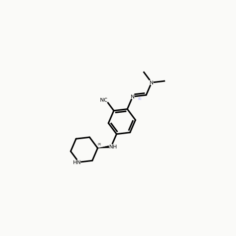 CN(C)/C=N/c1ccc(N[C@@H]2CCCNC2)cc1C#N